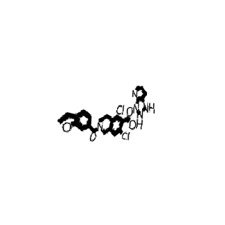 O=C(ON1NNc2cccnc21)c1c(Cl)cc2c(c1Cl)CCN(C(=O)c1ccc3ccoc3c1)C2